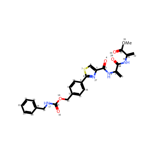 C=C(NC(=O)c1csc(-c2ccc(COC(=O)NCc3ccccc3)cc2)n1)C(=O)NC(=C)C(=O)OC